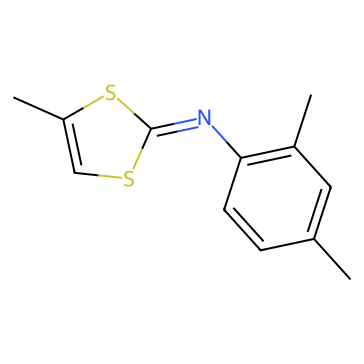 Cc1ccc(/N=c2\scc(C)s2)c(C)c1